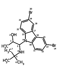 CC(O)C(NC(C)(C)C)n1c2ccc(Br)cc2c2cc(Br)ccc21